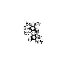 CCCc1c(Br)c(Br)c(C(CC)c2c(Br)c(Br)c(CCC)c3c2O3)c2c1O2